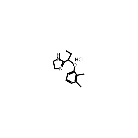 CCC(Oc1cccc(C)c1C)C1=NCCN1.Cl